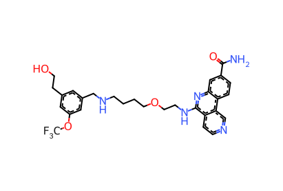 NC(=O)c1ccc2c(c1)nc(NCCOCCCCNCc1cc(CCO)cc(OC(F)(F)F)c1)c1ccncc12